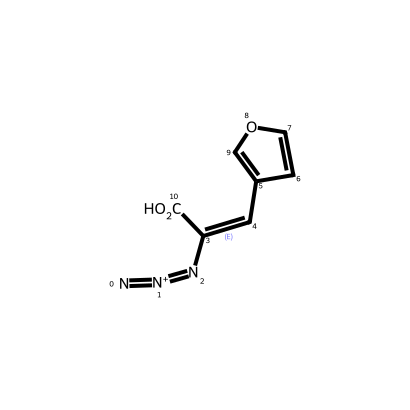 [N-]=[N+]=N/C(=C/c1ccoc1)C(=O)O